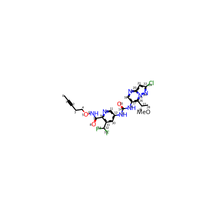 CC#CCCONC(=O)c1ncc(NC(=O)Nc2cnc3cc(Cl)nn3c2[C@H](C)OC)cc1C(F)F